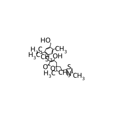 Cc1csc(CCC2(C(C)C)CC(O)=C(Sc3cc(C)c(CO)cc3C(C)(C)C)C(=O)O2)n1